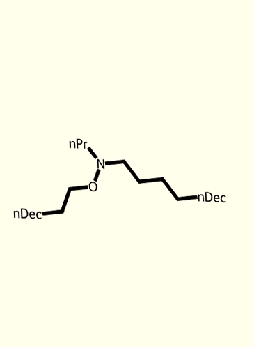 CCCCCCCCCCCCCCN(CCC)OCCCCCCCCCCCC